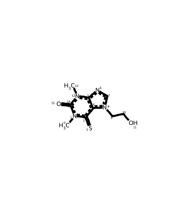 Cn1c(=S)c2c(ncn2CCO)n(C)c1=O